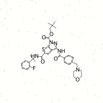 CC(C)(C)COC(=O)n1nc(NC(=O)c2ccc(CN3CCOCC3)cc2)c2cc(C(=O)NC(C)(C)c3ccccc3F)sc21